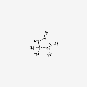 [2H]C1C(=S)NC([2H])([2H])N1[2H]